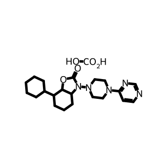 O=C(O)O.O=C1OC2C(C3CCCCC3)CCCC2N1N1CCN(c2ccncn2)CC1